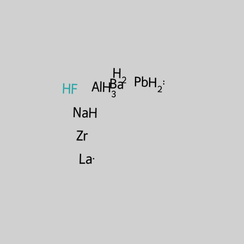 F.[AlH3].[BaH2].[La].[NaH].[PbH2].[Zr]